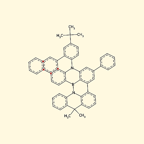 CC(C)(C)c1ccc(N2c3cc(-c4ccccc4)ccc3B3c4c(cc(-c5ccccc5)cc42)-c2cccc4c2N3c2ccccc2C4(C)C)c(-c2ccccc2)c1